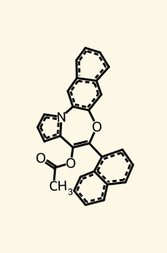 CC(=O)OC1=C(c2cccc3ccccc23)Oc2cc3ccccc3cc2-n2cccc21